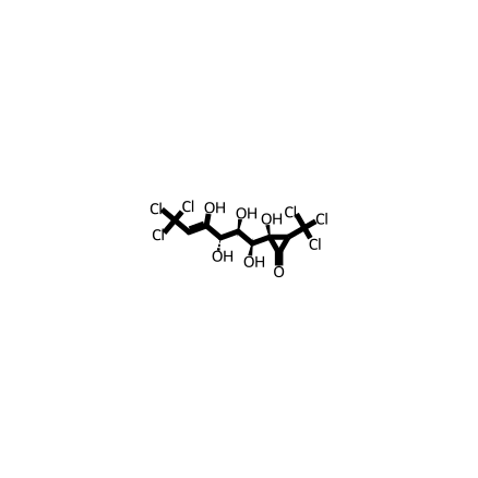 O=C1C(C(Cl)(Cl)Cl)[C@@]1(O)[C@@H](O)[C@H](O)[C@H](O)C(O)=CC(Cl)(Cl)Cl